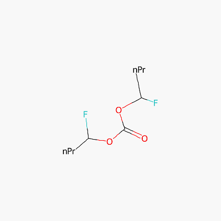 CCCC(F)OC(=O)OC(F)CCC